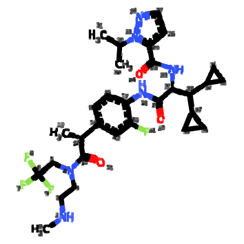 CNCCN(CC(F)(F)F)C(=O)[C@@H](C)c1ccc(NC(=O)[C@@H](NC(=O)c2ccnn2C(C)C)C(C2CC2)C2CC2)c(F)c1